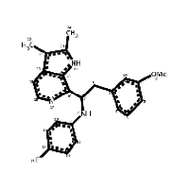 COc1cccc(CC(Nc2ccc(F)cc2)c2nccc3c(C)c(C)[nH]c23)c1